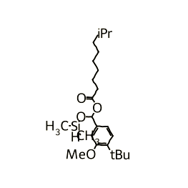 COc1cc(C(OC(=O)CCCCCCC(C)C)O[SiH](C)C)ccc1C(C)(C)C